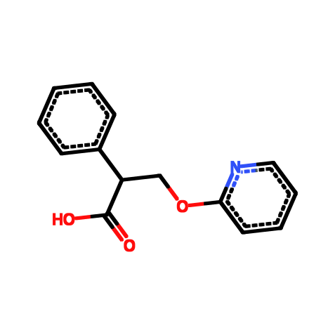 O=C(O)C(COc1ccccn1)c1ccccc1